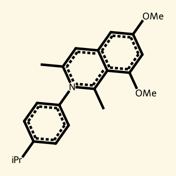 COc1cc(OC)c2c(C)[n+](-c3ccc(C(C)C)cc3)c(C)cc2c1